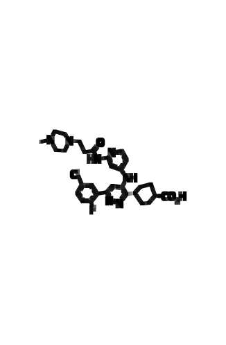 CN1CCN(CCC(=O)Nc2cc(Nc3cc(-c4cc(Cl)ccc4F)nnc3[C@H]3CC[C@H](C(=O)O)CC3)ccn2)CC1